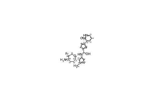 Cn1ncc(NC(O)c2csc(-c3ccc[nH]c3=O)n2)c1[C@@H]1CC[C@@H](N)[C@H](F)CO1